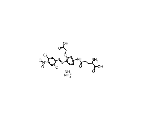 N.N.NC(CCC(=O)Nc1ccc(N=Nc2cc(Cl)c([N+](=O)[O-])cc2Cl)c(OCC(=O)O)c1)C(=O)O